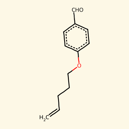 C=CCCCOc1ccc(C=O)cc1